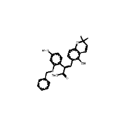 COC(=O)C(=Cc1ccc2c(c1O)C=CC(C)(C)O2)c1ccc(OC)cc1OCc1ccccc1